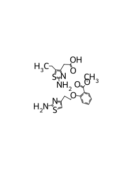 CCc1sc(N)nc1CC(=O)O.COC(=O)c1ccccc1OCCc1csc(N)n1